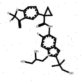 C=C1c2cc(C3(C(=O)Nc4cc5cc(C(C)(C)CO)n(CC(O)CO)c5cc4F)CC3)ccc2OC1(F)F